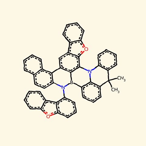 CC1(C)c2ccccc2N2c3c(cccc31)B1c3c(cc4c(oc5ccccc54)c32)-c2c(ccc3ccccc23)N1c1cccc2oc3ccccc3c12